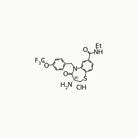 CCNC(=O)c1ccc2c(c1)N(Cc1ccc(OC(F)(F)F)cc1)C(=O)[C@@H](N)CS2.Cl